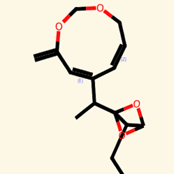 C=C1/C=C(C(C)C23OC(O2)C3CC)\C=C/COCO1